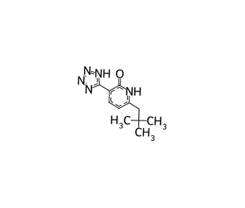 CC(C)(C)Cc1ccc(-c2nnn[nH]2)c(=O)[nH]1